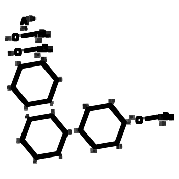 C1CCCCC1.C1CCCCC1.C1CCCCC1.CCCC[O-].CCCC[O-].CCCC[O-].[Al+3]